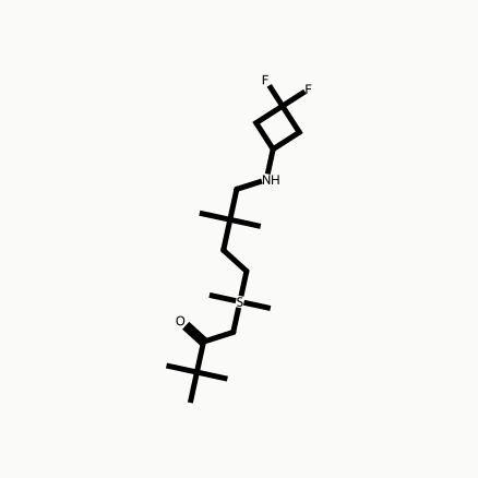 CC(C)(CCS(C)(C)CC(=O)C(C)(C)C)CNC1CC(F)(F)C1